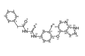 O=C(Cc1ccccc1)NC(=S)Nc1ccc(Oc2ccnc3[nH]ncc23)c(F)c1